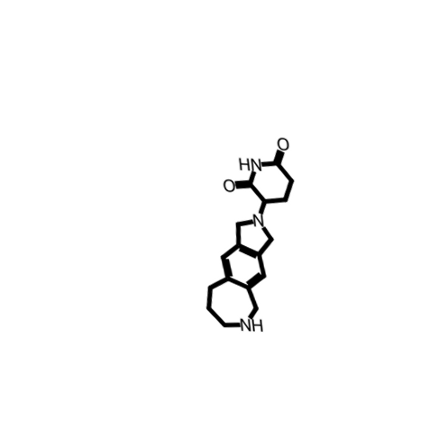 O=C1CCC(N2Cc3cc4c(cc3C2)CNCCC4)C(=O)N1